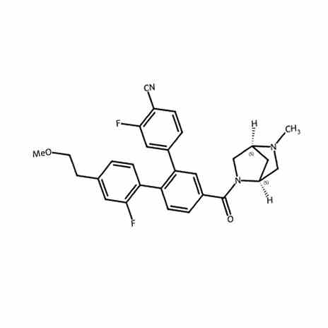 COCCc1ccc(-c2ccc(C(=O)N3C[C@@H]4C[C@H]3CN4C)cc2-c2ccc(C#N)c(F)c2)c(F)c1